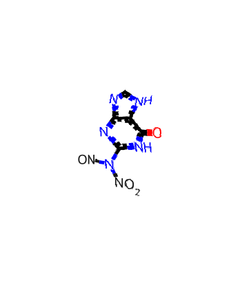 O=NN(c1nc2nc[nH]c2c(=O)[nH]1)[N+](=O)[O-]